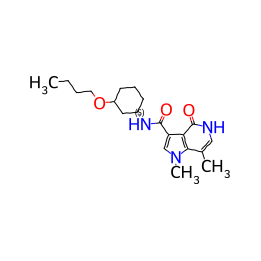 CCCCOC1CCC[C@H](NC(=O)c2cn(C)c3c(C)c[nH]c(=O)c23)C1